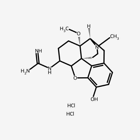 CO[C@@]12CCC(NC(=N)N)C3Oc4c(O)ccc5c4[C@@]31CCN(C)[C@@H]2C5.Cl.Cl